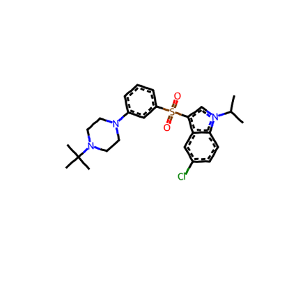 CC(C)n1cc(S(=O)(=O)c2cccc(N3CCN(C(C)(C)C)CC3)c2)c2cc(Cl)ccc21